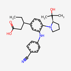 CCC(CC(=O)O)c1ccc(N2CCC[C@@H]2C(C)(C)O)c(Nc2ccc(C#N)cc2)c1